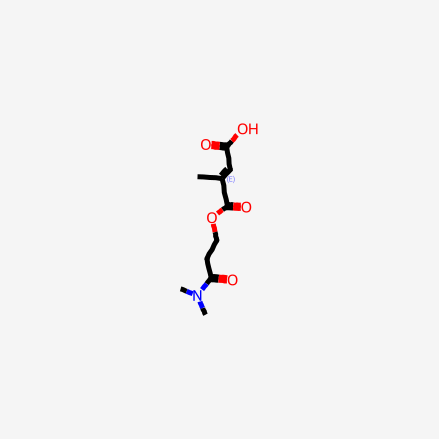 C/C(=C\C(=O)O)C(=O)OCCC(=O)N(C)C